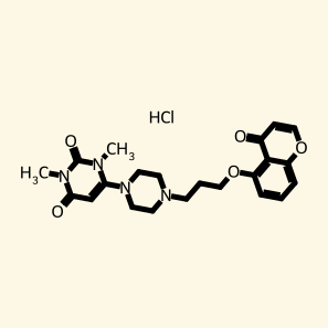 Cl.Cn1c(N2CCN(CCCOc3cccc4occc(=O)c34)CC2)cc(=O)n(C)c1=O